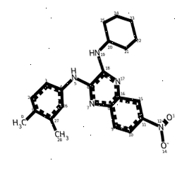 Cc1ccc(Nc2nc3ccc([N+](=O)[O-])cc3nc2NC2CCCCC2)cc1C